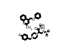 Cc1cc(COc2ccccc2)c2ccccc2n1.O=C(NO)C(CN=S(=O)=O)N1CCN(Cc2ccc(F)cc2)CC1